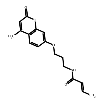 CC=CC(=O)NCCCOc1ccc2c(C)cc(=O)oc2c1